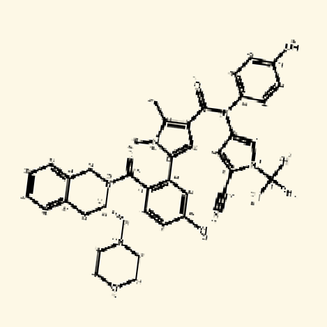 [2H]C([2H])([2H])n1cc(N(C(=O)c2cc(-c3cc(Cl)ccc3C(=O)N3Cc4ccccc4C[C@H]3CN3CCOCC3)n(C)c2C)c2ccc(O)cc2)cc1C#N